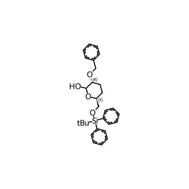 CC(C)(C)[Si](OC[C@@H]1CC[C@@H](OCc2ccccc2)C(O)O1)(c1ccccc1)c1ccccc1